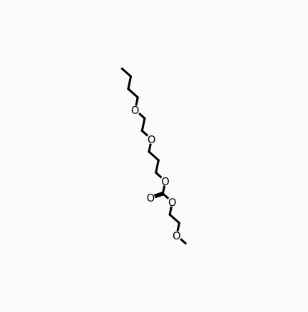 CCCCOCCOCCCOC(=O)OCCOC